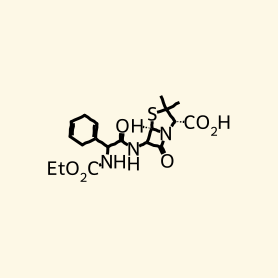 CCOC(=O)NC(C(=O)NC1C(=O)N2[C@@H]1SC(C)(C)[C@@H]2C(=O)O)C1=CCC=CC1